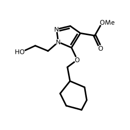 COC(=O)c1cnn(CCO)c1OCC1CCCCC1